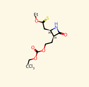 CCOC(=S)C[C@H]1NC(=O)[C@H]1CCOC(=O)OCC(Cl)(Cl)Cl